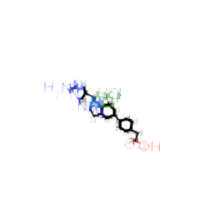 Cl.Cl.Cl.Nc1ncc(CN2CCc3cc(-c4ccc(CC(=O)O)cc4)ccc32)c(N)n1